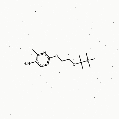 Cc1nc(OCCOC(C)(C)[Si](C)(C)C)ccc1N